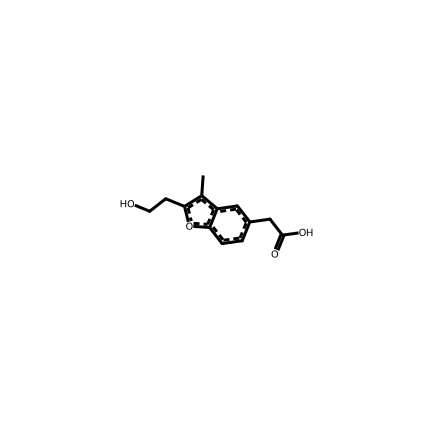 Cc1c(CCO)oc2ccc(CC(=O)O)cc12